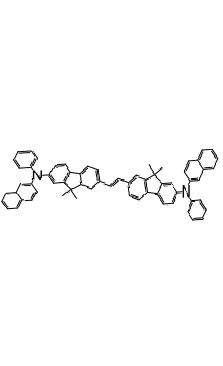 CC1(C)c2cc(/C=C/C3=CC=C4c5ccc(N(c6ccccc6)c6ccc7ccccc7c6)cc5C(C)(C)C4C3)ccc2-c2ccc(N(c3ccccc3)c3ccc4ccccc4c3)cc21